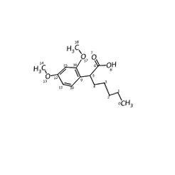 CCCCCC(C(=O)O)c1ccc(OC)cc1OC